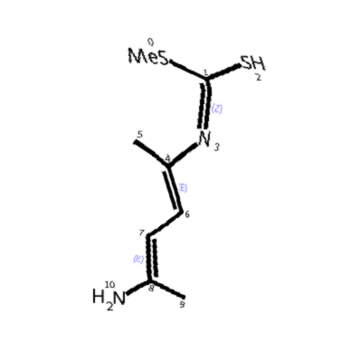 CS\C(S)=N/C(C)=C/C=C(\C)N